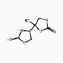 N#CC1(C2COC(O)O2)COC(=O)O1